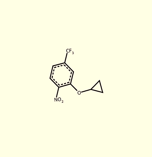 O=[N+]([O-])c1ccc(C(F)(F)F)cc1OC1CC1